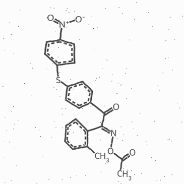 CC(=O)O/N=C(/C(=O)c1ccc(Sc2ccc([N+](=O)[O-])cc2)cc1)c1ccccc1C